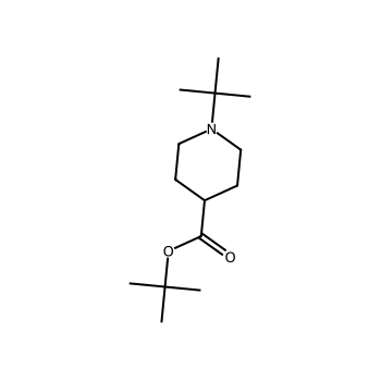 CC(C)(C)OC(=O)C1CCN(C(C)(C)C)CC1